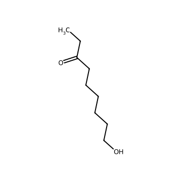 CCC(=O)CCCCCCO